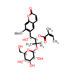 C/C=C(/C)C(=O)O[C@@H]([C@H](O)c1cc2ccc(=O)oc2cc1OC)C(C)(C)O[C@@H]1O[C@H](CO)[C@@H](O)[C@H](O)[C@H]1O